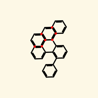 c1ccc(-c2ccccc2-c2c(-c3ccccc3)cccc2N(c2ccccc2)c2ccccc2)cc1